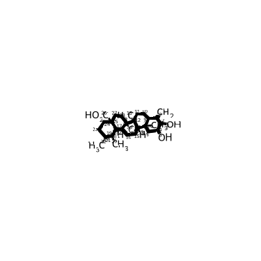 C=C1C(O)C(O)C[C@@]2(C)C1CC[C@]1(C)[C@@H]2CC=C2[C@@H]3[C@@H](C)[C@H](C)CC[C@]3(C(=O)O)CC[C@]21C